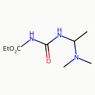 CCOC(=O)NC(=O)NC(C)N(C)C